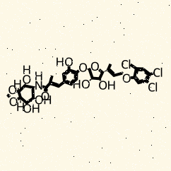 C/C(=C\c1ccc(O[C@@H]2O[C@H](/C(C)=C/COc3cc(Cl)c(Cl)cc3Cl)[C@@H](O)[C@@H]2O)c(O)c1)C(=O)N[C@@H]1[C@H](O)[C@@H](O)[C@H]2OCO[C@H]2[C@@H]1O